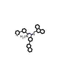 C=N/C(=C\C(=N/Cc1cc2ccccc2c2ccccc12)c1ccc(-c2ccc3ccccc3c2)cc1)c1cccc(-c2cccnc2)c1